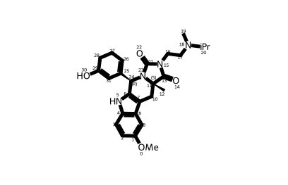 COc1ccc2[nH]c3c(c2c1)C[C@@]1(C)C(=O)N(CCN(C)C(C)C)C(=O)N1[C@@H]3C1=CCCC(O)=C1